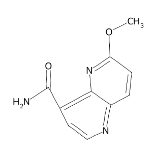 COc1ccc2nccc(C(N)=O)c2n1